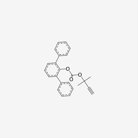 C#CC(C)(C)OC(=O)Oc1c(-c2ccccc2)cccc1-c1ccccc1